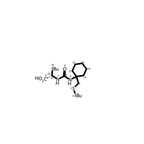 CC(C)(C)SCC1(NC(=O)N[C@H](C(=O)O)C(C)(C)C)CCCCC1